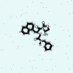 CC(C)[C@H]1COC(=O)N1C(=O)[C@@H](CC(=O)N(C)Cc1ccccc1)Cc1cccc2ccccc12